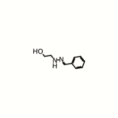 OCCN/N=C/c1ccccc1